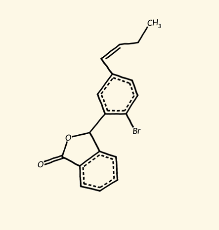 CC/C=C\c1ccc(Br)c(C2OC(=O)c3ccccc32)c1